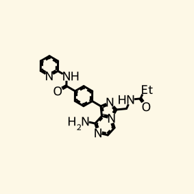 CCC(=O)NCc1nc(-c2ccc(C(=O)Nc3ccccn3)cc2)c2c(N)nccn12